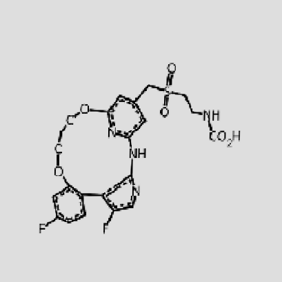 O=C(O)NCCS(=O)(=O)Cc1cc2nc(c1)OCCCOc1cc(F)ccc1-c1cc(ncc1F)N2